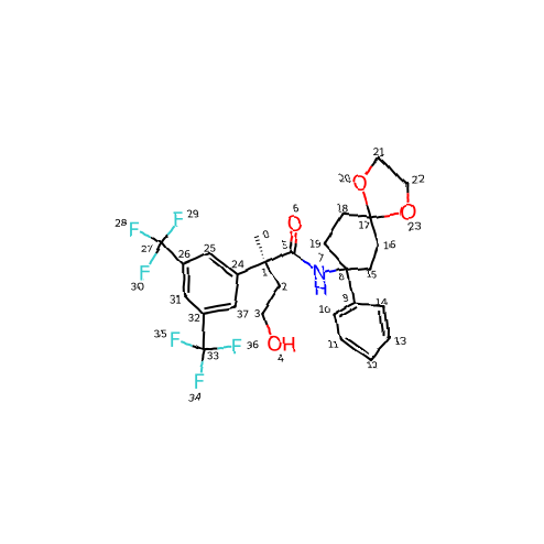 C[C@@](CCO)(C(=O)NC1(c2ccccc2)CCC2(CC1)OCCO2)c1cc(C(F)(F)F)cc(C(F)(F)F)c1